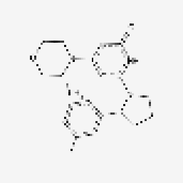 C[C@@H]1COCCN1c1cc(N2CCCC2c2cccc(F)c2)[nH]c(=O)c1